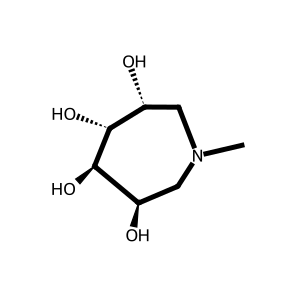 CN1C[C@@H](O)[C@@H](O)[C@H](O)[C@H](O)C1